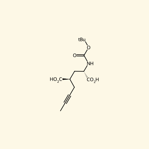 CC#CC[C@H](C[C@H](NC(=O)OC(C)(C)C)C(=O)O)C(=O)O